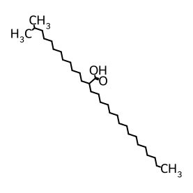 CCCCCCCCCCCCCCCCC(CCCCCCCCCCC(C)C)C(=O)O